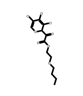 CCCCOCCOC(=O)C(=O)C1OC=C(Cl)C(Cl)=C1Cl